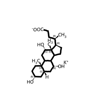 C[C@H](CCC(=O)[O-])[C@H]1CCC2C3C(C[C@H](O)[C@@]21C)[C@@]1(C)CC[C@@H](O)C[C@H]1C[C@H]3O.[K+]